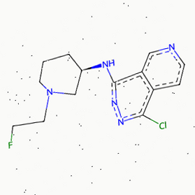 FCCN1CCC[C@@H](Nc2nnc(Cl)c3ccncc23)C1